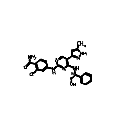 Cc1cc(-c2cnc(Nc3ccc(C(N)=O)c(Cl)c3)nc2N[C@H](CO)c2ccccc2)n[nH]1